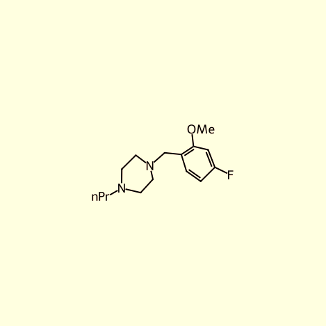 C[CH]CN1CCN(Cc2ccc(F)cc2OC)CC1